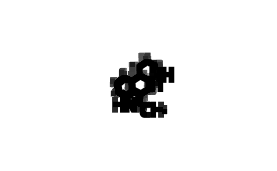 [CH]c1[nH]c2cccc3c2c1C[C@H]1NCCCC31